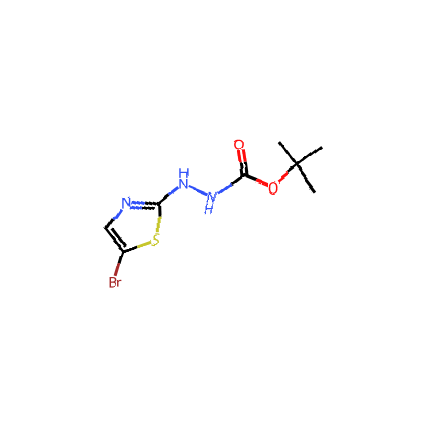 CC(C)(C)OC(=O)NNc1ncc(Br)s1